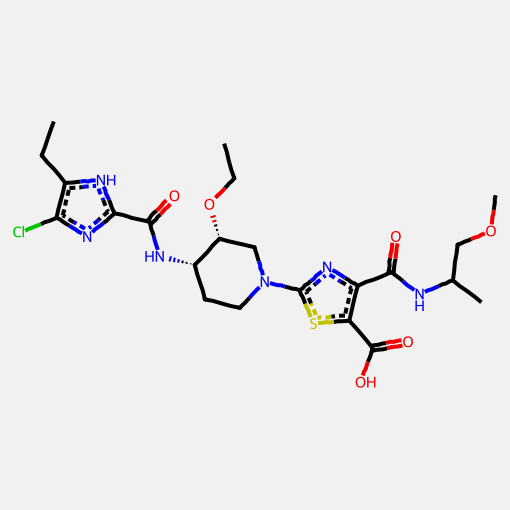 CCO[C@@H]1CN(c2nc(C(=O)NC(C)COC)c(C(=O)O)s2)CC[C@@H]1NC(=O)c1nc(Cl)c(CC)[nH]1